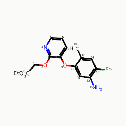 CCOC(=O)COc1ncccc1Oc1cc(N)c(F)cc1C